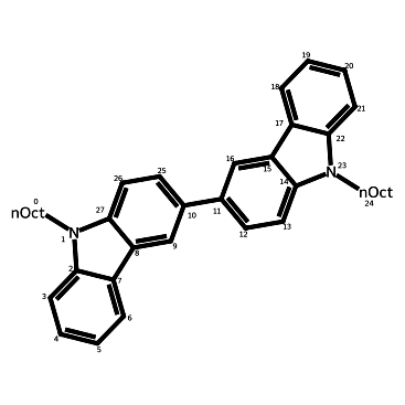 CCCCCCCCn1c2ccccc2c2cc(-c3ccc4c(c3)c3ccccc3n4CCCCCCCC)ccc21